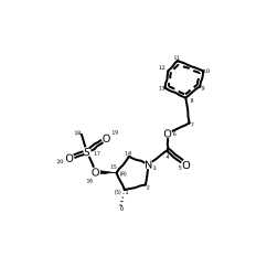 C[C@H]1CN(C(=O)OCc2ccccc2)C[C@@H]1OS(C)(=O)=O